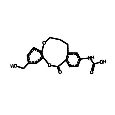 O=C(O)Nc1ccc2c(c1)CCCOc1ccc(CO)cc1OC2=O